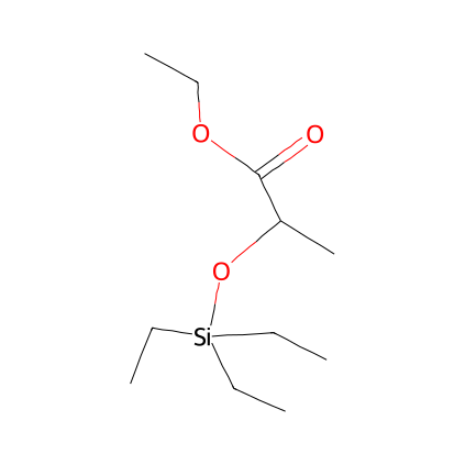 CCOC(=O)C(C)O[Si](CC)(CC)CC